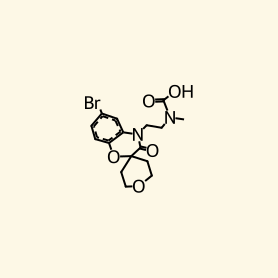 CN(CCN1C(=O)C2(CCOCC2)Oc2ccc(Br)cc21)C(=O)O